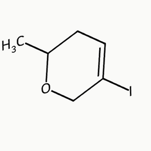 CC1CC=C(I)CO1